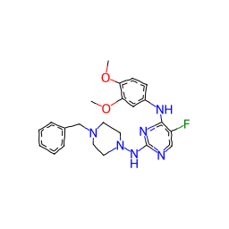 COc1ccc(Nc2nc(NN3CCN(Cc4ccccc4)CC3)ncc2F)cc1OC